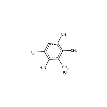 Cc1cc(N)c(C)c(C)c1N.Cl